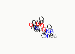 CCCCN1CCCC[C@H]1C(=O)Nc1c(C)cccc1C.COC(=O)[C@H]1[C@@H](OC(=O)c2ccccc2)C[C@@H]2CC[C@H]1N2C